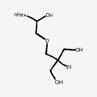 CCCCCCC(O)COCC(CC)(CO)CO